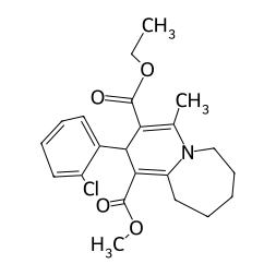 CCOC(=O)C1=C(C)N2CCCCCC2=C(C(=O)OC)C1c1ccccc1Cl